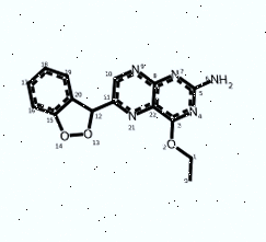 CCOc1nc(N)nc2ncc(C3OOc4ccccc43)nc12